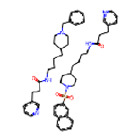 O=C(CCc1cccnc1)NCCCCC1CCN(Cc2ccccc2)CC1.O=C(CCc1cccnc1)NCCCCC1CCN(S(=O)(=O)c2ccc3ccccc3c2)CC1